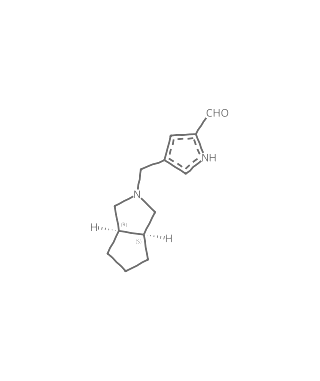 O=Cc1cc(CN2C[C@H]3CCC[C@H]3C2)c[nH]1